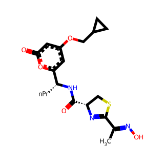 CCC[C@@H](NC(=O)[C@@H]1CSC(/C(C)=N/O)=N1)c1cc(OCC2CC2)cc(=O)o1